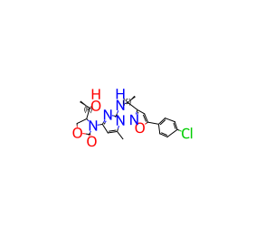 Cc1cc(N2C(=O)OCC2[C@@H](C)O)nc(N[C@@H](C)c2cc(-c3ccc(Cl)cc3)on2)n1